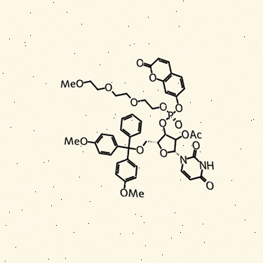 COCCOCCOCCOP(=O)(Oc1ccc2ccc(=O)oc2c1)OC1C(OC(C)=O)[C@H](n2ccc(=O)[nH]c2=O)O[C@@H]1COC(c1ccccc1)(c1ccc(OC)cc1)c1ccc(OC)cc1